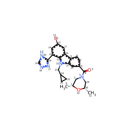 C[C@@H]1CN(C(=O)c2ccc3c4cc(Br)cc(-c5nnc[nH]5)c4n(CC4CC4)c3c2)C[C@H](C)O1